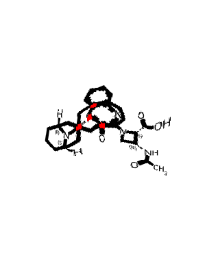 CC(=O)N[C@@H]1CN(c2nc3ccccc3n([C@H]3C[C@H]4CCC[C@@H](C3)N4C3CC4CCCCC(C4)C3)c2=O)[C@@H]1C(=O)O